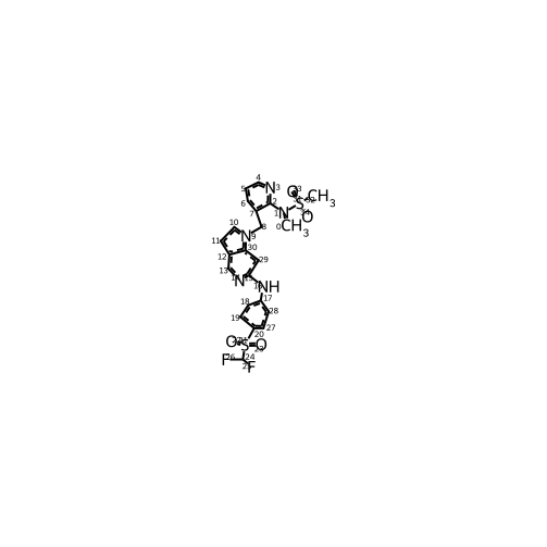 CN(c1ncccc1Cn1ccc2cnc(Nc3ccc(S(=O)(=O)C(F)F)cc3)cc21)S(C)(=O)=O